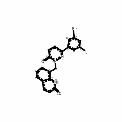 O=c1ccc2cccc(Cn3nc(-c4cc(F)cc(F)c4)ccc3=O)c2[nH]1